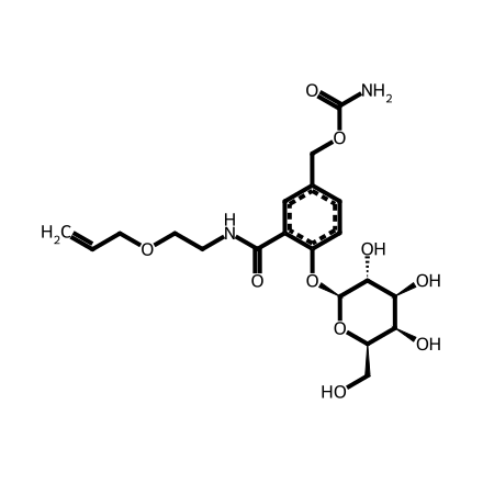 C=CCOCCNC(=O)c1cc(COC(N)=O)ccc1O[C@@H]1O[C@H](CO)[C@H](O)[C@H](O)[C@H]1O